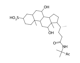 CC(=O)C(C)(C)NC(=O)CC[C@@H](C)C1CCC2C3C(O)CC4CC(S(=O)(=O)O)CCC4(C)C3CC(O)C21C